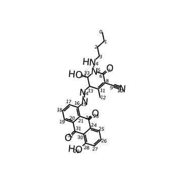 CCCCNN1C(=O)C(C#N)=C(C)C(/N=N/c2cccc3c2C(=O)c2cccc(O)c2C3=O)C1O